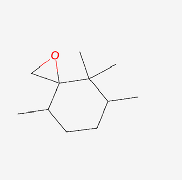 CC1CCC(C)C2(CO2)C1(C)C